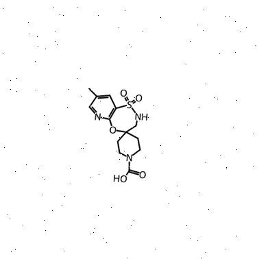 Cc1cnc2c(c1)S(=O)(=O)NCC1(CCN(C(=O)O)CC1)O2